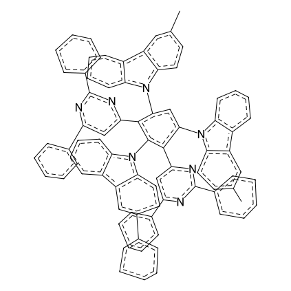 Cc1ccc2c(c1)c1ccccc1n2-c1cc(-n2c3ccccc3c3cc(C)ccc32)c(-c2cc(-c3ccccc3)nc(-c3ccccc3)n2)c(-n2c3ccccc3c3cc(-c4ccccc4)ccc32)c1-c1cc(-c2ccccc2)nc(-c2ccccc2)n1